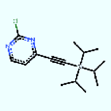 CC(C)[Si](C#Cc1ccnc(Cl)n1)(C(C)C)C(C)C